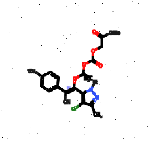 CCn1nc(C)c(Cl)c1/C(OC(C)OC(=O)OCC(=O)OC)=C(\C#N)c1ccc(C(C)(C)C)cc1